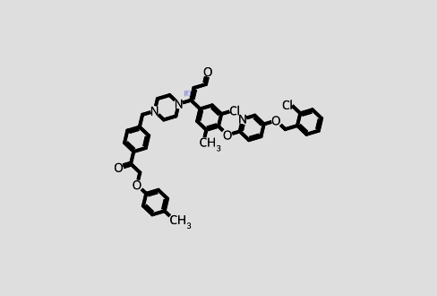 Cc1ccc(OCC(=O)c2ccc(CN3CCN(/C(=C/C=O)c4cc(C)c(Oc5ccc(OCc6ccccc6Cl)cn5)c(Cl)c4)CC3)cc2)cc1